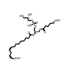 CCCCC/C=C\C/C=C\CCCCCCCC(=O)O[C@H](COC(=O)CCCCCCCCCCCCCC)COP(=O)(O)OC[C@@H](O)CO